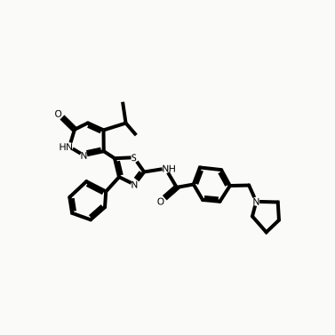 CC(C)c1cc(=O)[nH]nc1-c1sc(NC(=O)c2ccc(CN3CCCC3)cc2)nc1-c1ccccc1